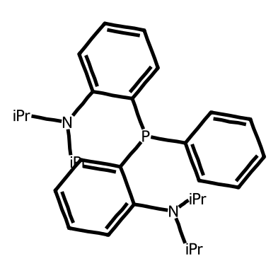 CC(C)N(c1ccccc1P(c1ccccc1)c1ccccc1N(C(C)C)C(C)C)C(C)C